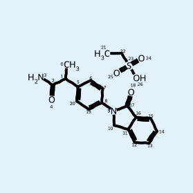 CC(C(N)=O)c1ccc(N2Cc3ccccc3C2=O)cc1.CCS(=O)(=O)O